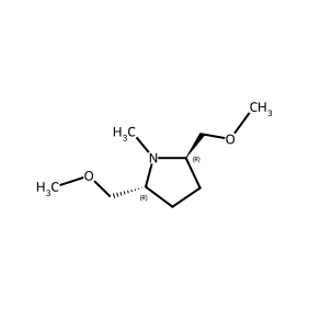 COC[C@H]1CC[C@H](COC)N1C